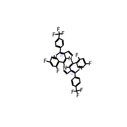 N#C/C(c1ccc(C(F)(F)F)cc1)=c1/ccn2c(-c3ccc(F)cc3F)c3/c(=C(\C#N)c4ccc(C(F)(F)F)cc4)ccn3c(-c3ccc(F)cc3F)c12